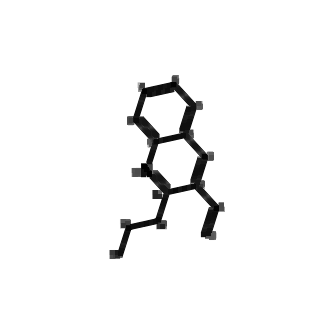 C=Cc1cc2ccccc2nc1CCC